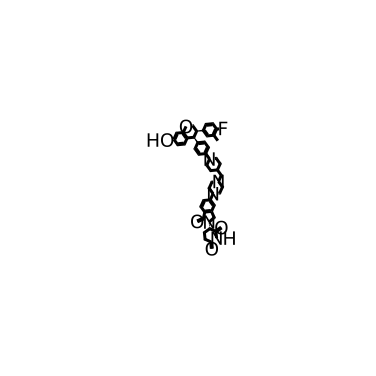 Cc1cc([C@@H]2COc3cc(O)ccc3[C@@H]2c2ccc(N3CCC(CN4CCN(c5ccc6c(c5)CN([C@H]5CCC(=O)NC5=O)C6=O)CC4)CC3)cc2)ccc1F